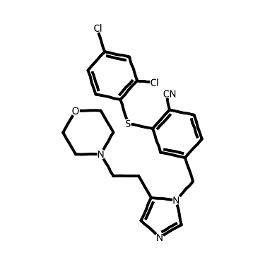 N#Cc1ccc(Cn2cncc2CCN2CCOCC2)cc1Sc1ccc(Cl)cc1Cl